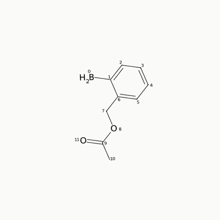 Bc1ccccc1COC(C)=O